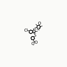 COC(=O)c1cccc(Sc2c(C)n(Cc3ncc(C)c(OC)c3C)c3cc(Cl)ccc23)c1